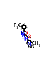 CC1CC(NC(=O)c2nnc(-c3cccc(C(F)(F)F)c3)o2)CN1C#N